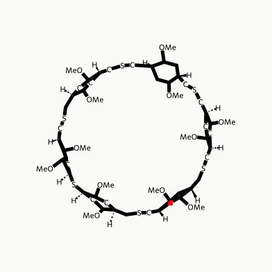 COC1C[C@H]2CSC[C@H]3CC(OC)[C@@H](CSC[C@H]4CC(OC)[C@@H](CSC[C@@H]5CC(OC)[C@@H](CC5OC)S[C@@H]5CC(OC)[C@H](CSC[C@H]6CC(OC)[C@@H](CSC[C@@H]1CC2OC)CC6OC)CC5OC)CC4OC)CC3OC